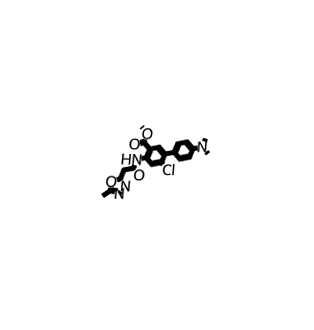 COC(=O)c1cc(-c2ccc(N(C)C)cc2)c(Cl)cc1NC(=O)Cc1nnc(C)o1